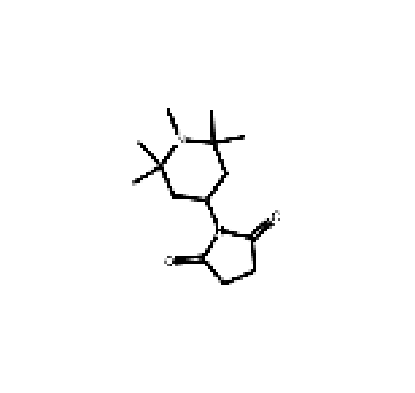 CN1C(C)(C)CC(N2C(=O)CCC2=O)CC1(C)C